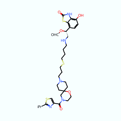 CC(C)c1nc(C(=O)N2CCOC3(CCN(CCCSCCCCNC[C@H](OC=O)c4ccc(O)c5[nH]c(=O)sc45)CC3)C2)cs1